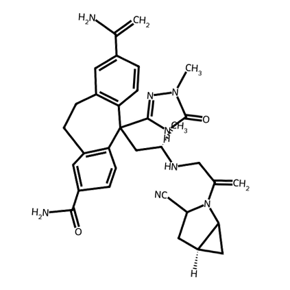 C=C(N)c1ccc2c(c1)CCc1cc(C(N)=O)ccc1C2(C[C@H](C)NCC(=C)N1C(C#N)C[C@@H]2CC21)c1nn(C)c(=O)[nH]1